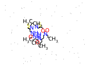 CCCC(CCN(CCC)C(=O)OCc1cncs1)NC(=O)C(NC(=O)NCc1csc(C(C)C)n1)C(C)C